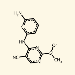 C[S+]([O-])c1ncc(C#N)c(Nc2cccc(N)n2)n1